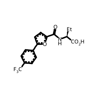 CC[C@H](NC(=O)c1ccc(-c2ccc(C(F)(F)F)cc2)o1)C(=O)O